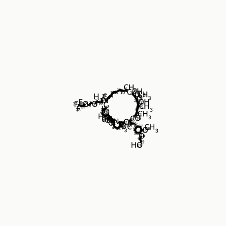 COC1C(=O)[C@H](C)C[C@H](C)/C=C/C=C/C=C(\C)C(OCCOCCOCC(F)(F)F)C[C@@H]2CC[C@@H](C)[C@@](O)(O2)C(=O)C(=O)N2CCCC[C@H]2C(=O)O[C@H]([C@H](C)C[C@@H]2CC[C@@H](OCCO)[C@H](OC)C2)CC(=O)[C@H](C)/C=C(\C)[C@H]1O